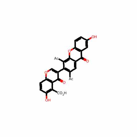 CC(=O)c1cc2c(=O)c3cc(O)ccc3oc2c(C(C)=O)c1-c1coc2ccc(O)c(C(=O)O)c2c1=O